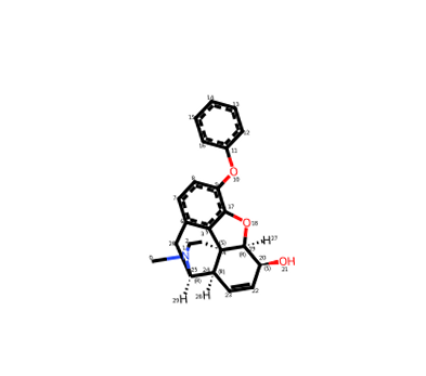 CN1CC[C@]23c4c5ccc(Oc6ccccc6)c4O[C@H]2[C@@H](O)C=C[C@H]3[C@H]1C5